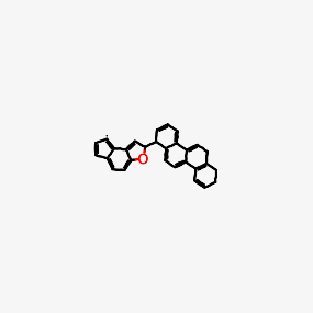 [C]1=c2c(ccc3c2=CC(C2C=CC=c4c2ccc2c4=CCC4=C2C=CCC4)O3)C=C1